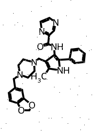 Cc1[nH]c(-c2ccccc2)c(NC(=O)c2cnccn2)c1CN1CCN(Cc2ccc3c(c2)OCO3)CC1